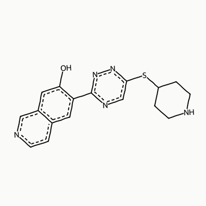 Oc1cc2cnccc2cc1-c1ncc(SC2CCNCC2)nn1